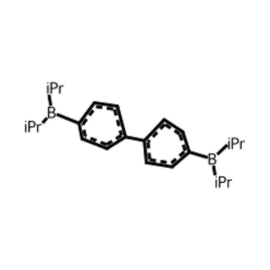 CC(C)B(c1ccc(-c2ccc(B(C(C)C)C(C)C)cc2)cc1)C(C)C